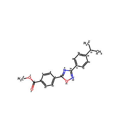 COC(=O)c1ccc(-c2nc(-c3ccc(C(C)C)cc3)no2)cc1